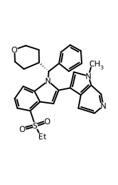 CCS(=O)(=O)c1cccc2c1cc(-c1cn(C)c3cnccc13)n2[C@@H](c1ccccc1)C1CCOCC1